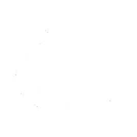 CCCS(=O)(=O)Nc1ccc(F)c(C(=O)c2ccc3[nH]c4ncc(-c5ccc(OCC(O)CO)cc5)cc4c3c2)c1F